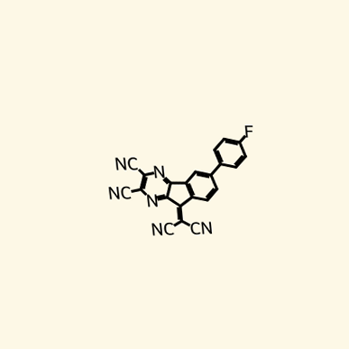 N#CC(C#N)=C1c2ccc(-c3ccc(F)cc3)cc2-c2nc(C#N)c(C#N)nc21